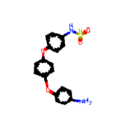 Nc1ccc(Oc2ccc(Oc3ccc(N[SH](=O)=O)cc3)cc2)cc1